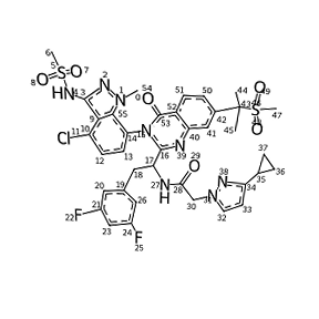 Cn1nc(NS(C)(=O)=O)c2c(Cl)ccc(-n3c(C(Cc4cc(F)cc(F)c4)NC(=O)Cn4ccc(C5CC5)n4)nc4cc(C(C)(C)S(C)(=O)=O)ccc4c3=O)c21